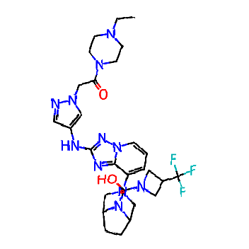 CCN1CCN(C(=O)Cn2cc(Nc3nc4c(N5CC6CCC(C5)N6C(O)N5CC(C(F)(F)F)C5)cccn4n3)cn2)CC1